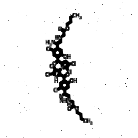 CCCCOC(=O)CN/C=C(\N)c1cc(O)c(C(=O)c2cc(Cl)c(Cl)n2-c2c(C(=O)c3cc(Cl)c(/C(=C/NCC(=O)OCCCC)N=N)cc3O)[nH]c(Cl)c2Cl)cc1Cl